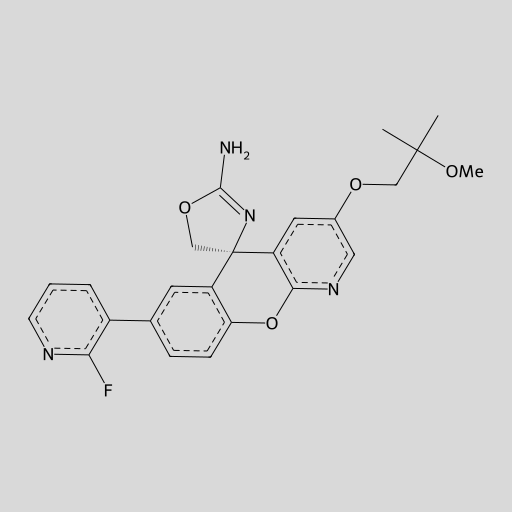 COC(C)(C)COc1cnc2c(c1)[C@@]1(COC(N)=N1)c1cc(-c3cccnc3F)ccc1O2